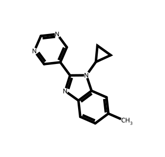 Cc1ccc2nc(-c3cncnc3)n(C3CC3)c2c1